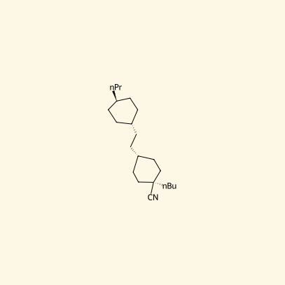 CCCC[C@]1(C#N)CC[C@H](CC[C@H]2CC[C@H](CCC)CC2)CC1